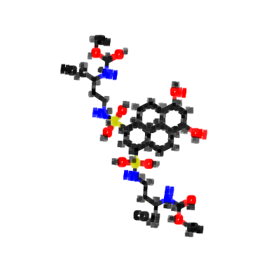 CC(C)(C)OC(=O)NC(CCNS(=O)(=O)c1cc(S(=O)(=O)NCCC(NC(=O)OC(C)(C)C)C(=O)O)c2ccc3c(O)cc(O)c4ccc1c2c43)C(=O)O